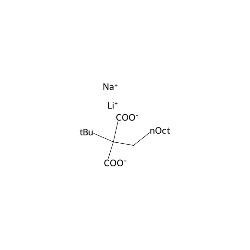 CCCCCCCCCC(C(=O)[O-])(C(=O)[O-])C(C)(C)C.[Li+].[Na+]